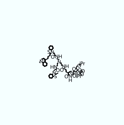 CC(C)OCC1OC(n2cc(/C=C/C(=O)NCCN(CCNC(=O)CN3/C(=C/C=C/c4cc[n+](C)c5ccccc45)Sc4ccccc43)CCNC(=O)CN3c4ccccc4SC3C)c(=O)[nH]c2=O)CC1OP(=O)(O)OC(C)C